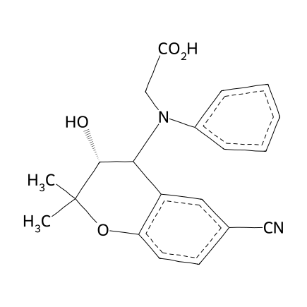 CC1(C)Oc2ccc(C#N)cc2C(N(CC(=O)O)c2ccccc2)[C@H]1O